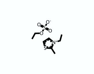 CCOS(=O)(=O)[O-].CC[n+]1ccsc1C